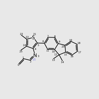 C=C/C=N\c1c(-c2ccc3c(c2)C(C)(C)c2ccccc2-3)sc(C)c1C